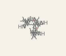 CCCCN(C)c1nc(N(CCCC)CCCC)nc(N(CCCCCCN(c2nc(N(CCCC)C3CC(C)(C)NC(C)(C)C3)nc(N(CCCCCCN(c3nc(N(CCCC)CCCC)nc(N(CCCC)CCCC)n3)C3CC(C)(C)NC(C)(C)C3)C3CC(C)(C)NC(C)(C)C3)n2)C2CC(C)(C)NC(C)(C)C2)C2CC(C)(C)NC(C)(C)C2)n1